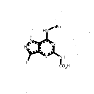 CCCCNc1nc(NC(=O)O)nc2c(F)n[nH]c12